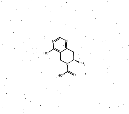 C[C@@H]1Cc2ncnc(O)c2CN1C(=O)O